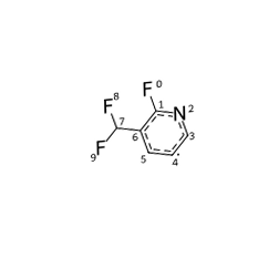 Fc1nc[c]cc1C(F)F